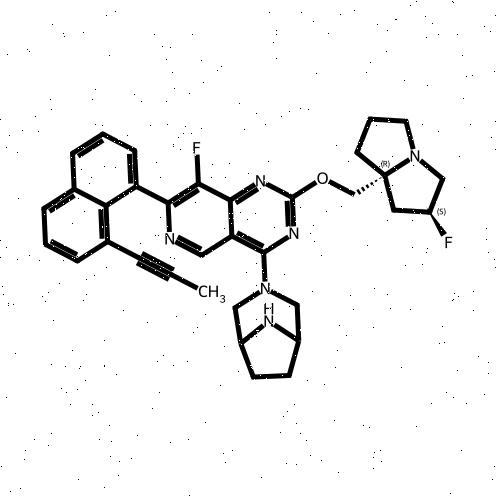 CC#Cc1cccc2cccc(-c3ncc4c(N5CC6CCC(C5)N6)nc(OC[C@]56CCCN5C[C@@H](F)C6)nc4c3F)c12